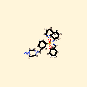 O=S(=O)(c1cccc(CN2CCNCC2)c1)N(Cc1ccccc1)c1cccc2cccnc12